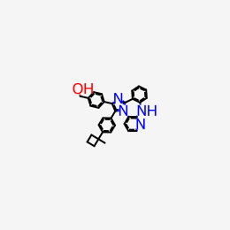 CC1(c2ccc(-c3c(-c4ccc(CO)cc4)nc4n3-c3cccnc3Nc3ccccc3-4)cc2)CCC1